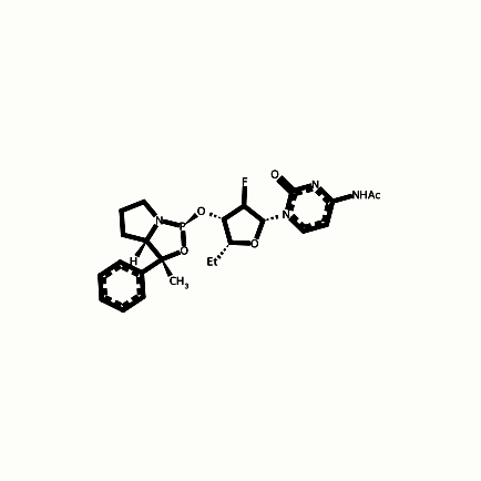 CC[C@H]1O[C@@H](n2ccc(NC(C)=O)nc2=O)C(F)[C@H]1O[P@@]1O[C@](C)(c2ccccc2)[C@@H]2CCCN21